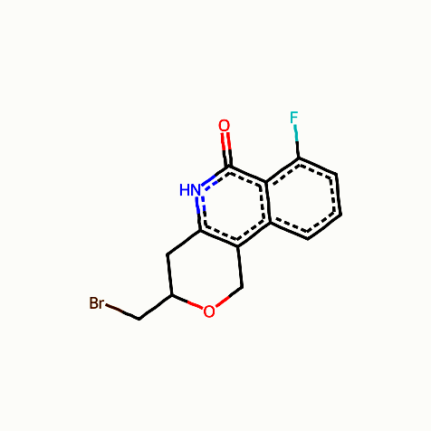 O=c1[nH]c2c(c3cccc(F)c13)COC(CBr)C2